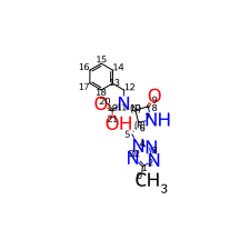 Cc1nnn(C[C@H]2NC(=O)[C@H]2N(Cc2ccccc2)C(=O)O)n1